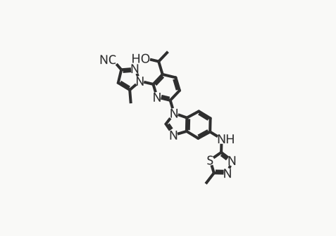 Cc1nnc(Nc2ccc3c(c2)ncn3-c2ccc(C(C)O)c(-n3nc(C#N)cc3C)n2)s1